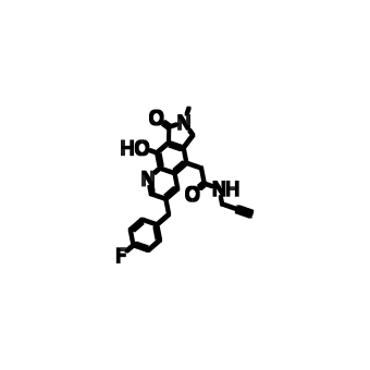 C#CCNC(=O)Cc1c2c(c(O)c3ncc(Cc4ccc(F)cc4)cc13)C(=O)N(C)C2